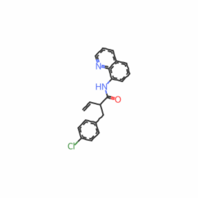 C=CC(Cc1ccc(Cl)cc1)C(=O)Nc1cccc2cccnc12